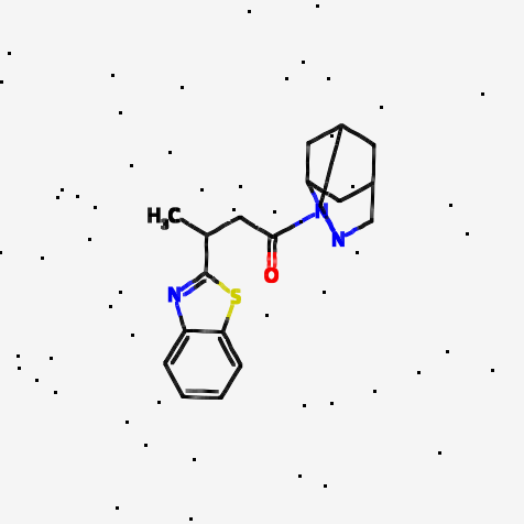 CC(CC(=O)N1C2CC3CC(C2)CN1C3)c1nc2ccccc2s1